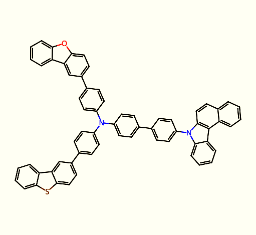 c1ccc2c(c1)ccc1c2c2ccccc2n1-c1ccc(-c2ccc(N(c3ccc(-c4ccc5oc6ccccc6c5c4)cc3)c3ccc(-c4ccc5sc6ccccc6c5c4)cc3)cc2)cc1